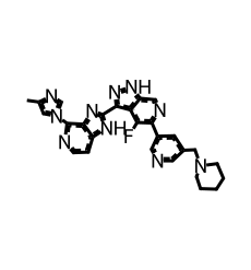 Cc1cn(-c2nccc3[nH]c(-c4n[nH]c5cnc(-c6cncc(CN7CCCCC7)c6)c(F)c45)nc23)cn1